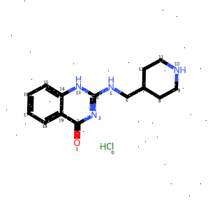 Cl.O=c1nc(NCC2CCNCC2)[nH]c2ccccc12